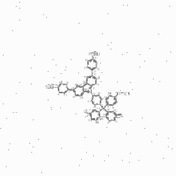 CCCCCCc1ccc(C2(c3ccc(-n4c5ccc(-c6ccc(C(C)(C)C)cc6)cc5c5cc(-c6ccc(C(C)(C)C)cc6)ccc54)cc3)c3cc(C)ccc3-c3ccc(C)cc32)cc1